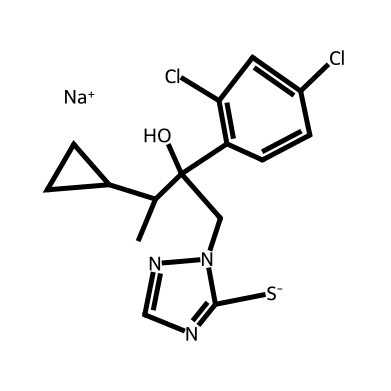 CC(C1CC1)C(O)(Cn1ncnc1[S-])c1ccc(Cl)cc1Cl.[Na+]